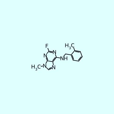 Cc1ccccc1CNc1nc(F)nc2c1ncn2C